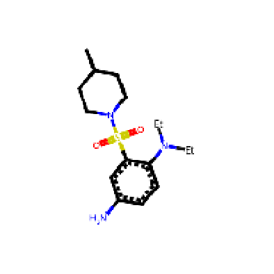 CCN(CC)c1ccc(N)cc1S(=O)(=O)N1CCC(C)CC1